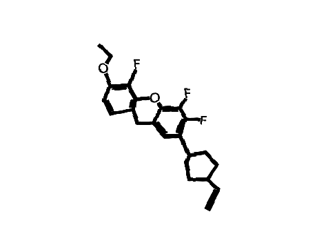 C=CC1CCC(c2cc3c(c(F)c2F)Oc2c(ccc(OCC)c2F)C3)CC1